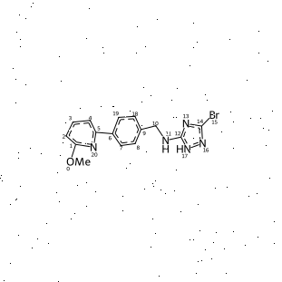 COc1cccc(-c2ccc(CNc3nc(Br)n[nH]3)cc2)n1